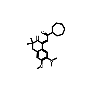 COc1cc2c(cc1N(C)C)C(=CC(=O)C1CCCCCC1)NC(C)(C)C2